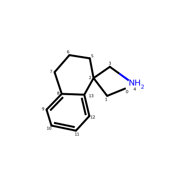 CCC1(CN)CCCc2ccccc21